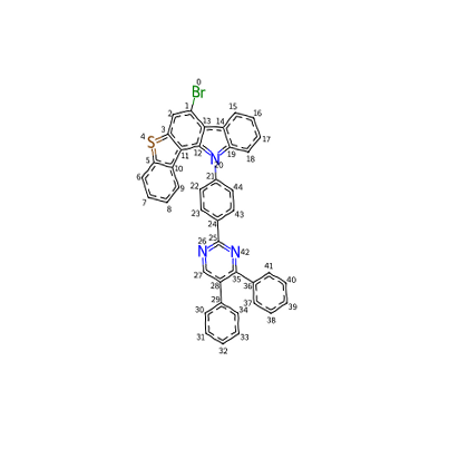 Brc1cc2sc3ccccc3c2c2c1c1ccccc1n2-c1ccc(-c2ncc(-c3ccccc3)c(-c3ccccc3)n2)cc1